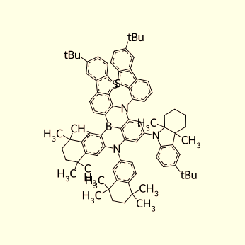 CC(C)(C)c1ccc2c(c1)C1(C)CCCCC1(C)N2c1cc2c3c(c1)N(c1cccc4c1sc1ccc(C(C)(C)C)cc14)c1c(ccc4c1sc1ccc(C(C)(C)C)cc14)B3c1cc3c(cc1N2c1ccc2c(c1)C(C)(C)CCC2(C)C)C(C)(C)CCC3(C)C